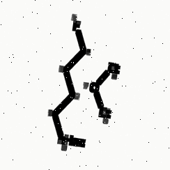 CCCCCCCCCCF.CCOCC